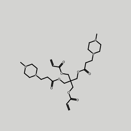 C=CC(=O)OCC(COC(=O)C=C)(COC(=O)CCN1CCN(C)CC1)COC(=O)CCN1CCN(C)CC1